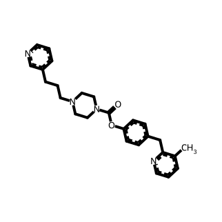 Cc1cccnc1Cc1ccc(OC(=O)N2CCN(CCCc3cccnc3)CC2)cc1